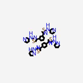 c1ccc(Nc2nc(-c3ccc(-c4csc(Nc5ccccn5)n4)cc3)cs2)nc1.c1cncc(Nc2nc(-c3cccc(-c4csc(Nc5cccnc5)n4)c3)cs2)c1